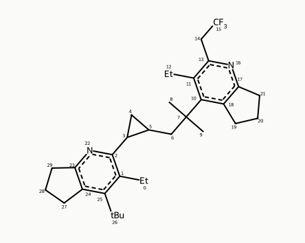 CCc1c(C2CC2CC(C)(C)c2c(CC)c(CC(F)(F)F)nc3c2CCC3)nc2c(c1C(C)(C)C)CCC2